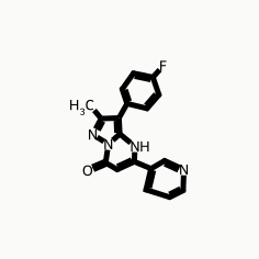 Cc1nn2c(=O)cc(-c3cccnc3)[nH]c2c1-c1ccc(F)cc1